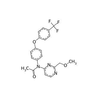 COCc1nccc(N(C(C)=O)c2ccc(Oc3ccc(C(F)(F)F)cc3)cc2)n1